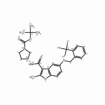 Cc1oc2ccc(OCc3ccccc3C(F)(F)F)cc2c1C(=O)N[C@@H]1CCN(C(=O)OC(C)(C)C)C1